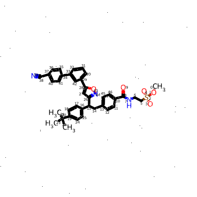 COS(=O)(=O)CCNC(=O)c1ccc(CC(c2ccc(C(C)(C)C)cc2)c2cc(-c3cccc(-c4ccc(C#N)cc4)c3)on2)cc1